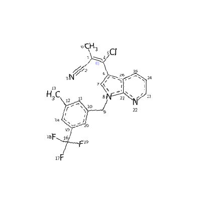 C/C(C#N)=C(\Cl)c1cn(Cc2cc(C)cc(C(F)(F)F)c2)c2ncccc12